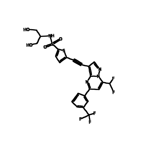 O=S(=O)(NC(CO)CO)c1ccc(C#Cc2cnn3c(C(F)F)cc(-c4cccc(C(F)(F)F)c4)nc23)s1